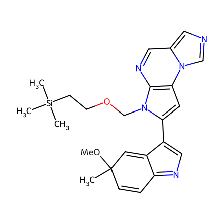 COC1(C)C=CC2=NC=C(c3cc4c(ncc5cncn54)n3COCC[Si](C)(C)C)C2=C1